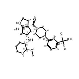 CO[C@@H]1OCCC[C@@H]1N[C@@H]1C[C@H]2OCC[C@@]2(C(=O)N2CCN(c3cccc(C(F)(F)F)n3)CC2)C1